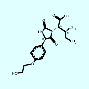 CC[C@H](C)[C@@H](C(=O)O)N1C(=O)N[C@H](c2ccc(OCCO)cc2)C1=O